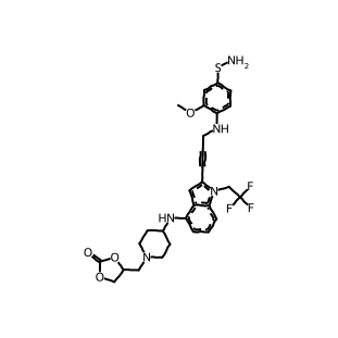 COc1cc(SN)ccc1NCC#Cc1cc2c(NC3CCN(CC4COC(=O)O4)CC3)cccc2n1CC(F)(F)F